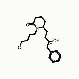 [O]CCCCN1C(=O)CCCC1CC[C@@H](O)Cc1ccccc1